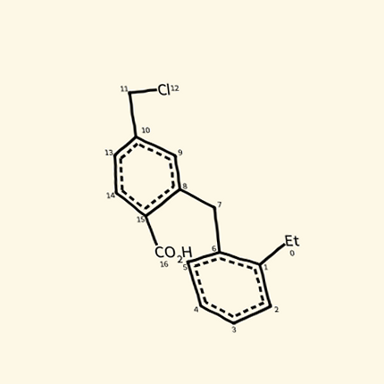 CCc1ccccc1Cc1cc(CCl)ccc1C(=O)O